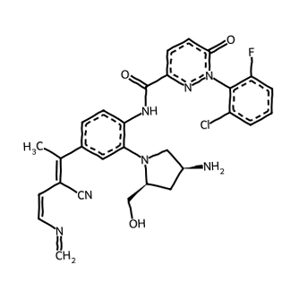 C=N/C=C\C(C#N)=C(/C)c1ccc(NC(=O)c2ccc(=O)n(-c3c(F)cccc3Cl)n2)c(N2C[C@@H](N)C[C@H]2CO)c1